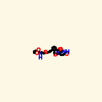 CC(C)(C)OC(=O)NCCOCC#Cc1cccc2c1COCN(C1CCC(=O)NC1=O)C2=O